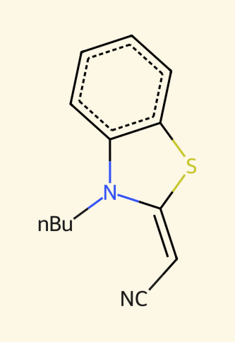 CCCCN1C(=CC#N)Sc2ccccc21